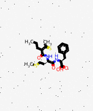 CCCC(C(=O)N[C@@H](CCSC)C(=O)N[C@@H](Cc1ccccc1)C(=O)O)C(C)=S